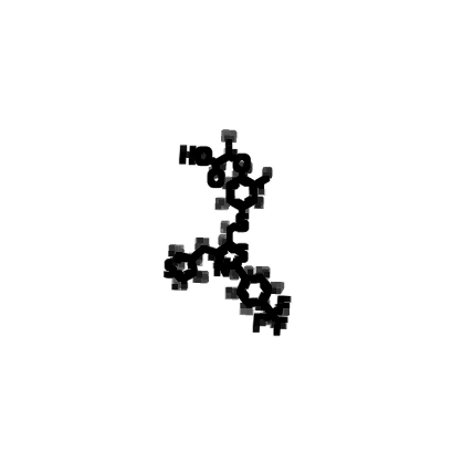 Cc1cc(SCc2sc(-c3ccc(C(F)(F)F)cc3)nc2Cc2ccsc2)ccc1OC(C)C(=O)O